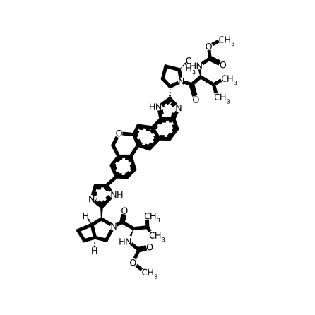 COC(=O)N[C@H](C(=O)N1C[C@H]2CC[C@H]2[C@H]1c1ncc(-c2ccc3c(c2)COc2cc4c(ccc5nc([C@@H]6CC[C@H](C)N6C(=O)[C@@H](NC(=O)OC)C(C)C)[nH]c54)cc2-3)[nH]1)C(C)C